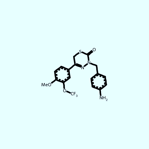 COc1ccc(C2=NN(Cc3ccc(N)cc3)C(=O)SC2)cc1OC(F)(F)F